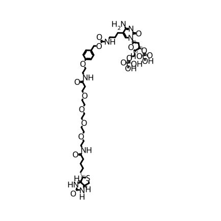 Nc1nc(=O)n([C@H]2C[C@@H](OP(=O)(O)O)[C@@H](COP(=O)(O)O)O2)cc1CCCNC(=O)OCc1ccc(OCCNC(=O)CCOCCOCCOCCOCCNC(=O)CCCC[C@@H]2SC[C@@H]3NC(=O)N[C@@H]32)cc1